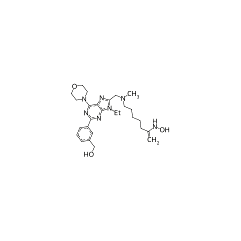 C=C(CCCCCN(C)Cc1nc2c(N3CCOCC3)nc(-c3cccc(CO)c3)nc2n1CC)NO